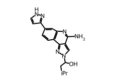 CC(C)CC(O)n1cc2c(N)nc3cc(-c4cc[nH]n4)ccc3c2n1